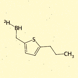 [2H]BCc1ccc(CCC)s1